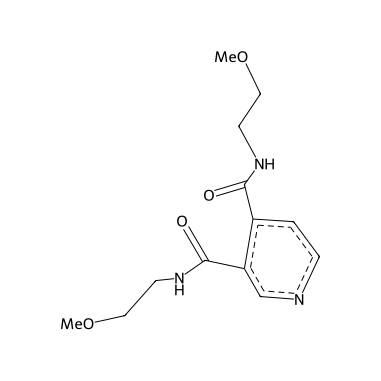 COCCNC(=O)c1ccncc1C(=O)NCCOC